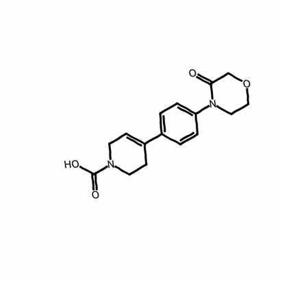 O=C(O)N1CC=C(c2ccc(N3CCOCC3=O)cc2)CC1